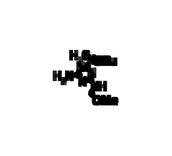 COCNc1nc(N)nc(N(C)OCC(C)C)n1